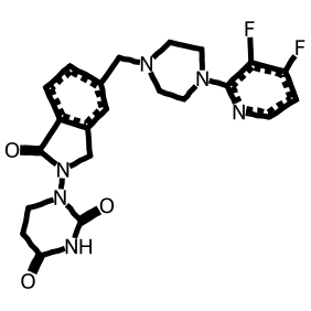 O=C1CCN(N2Cc3cc(CN4CCN(c5nccc(F)c5F)CC4)ccc3C2=O)C(=O)N1